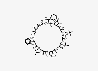 CC[C@H](C)[C@H]1C(=O)N[C@H](C(=O)N2CCCCC2)CC(=O)N[C@@H](C)C(=O)N(C)[C@@H](C)C(=O)N(C)[C@@H](Cc2ccccc2)C(=O)N(C)[C@@H](CC(C)C)C(=O)N[C@@H]([C@@H](C)O)C(=O)N(C)CC(=O)N(C)[C@@H](CC(C)C)C(=O)N[C@@H](COC(C)(C)C)C(=O)N1C